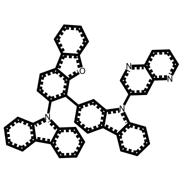 c1cnc2cc(-n3c4ccccc4c4ccc(-c5c(-n6c7ccccc7c7ccccc76)ccc6c5oc5ccccc56)cc43)cnc2c1